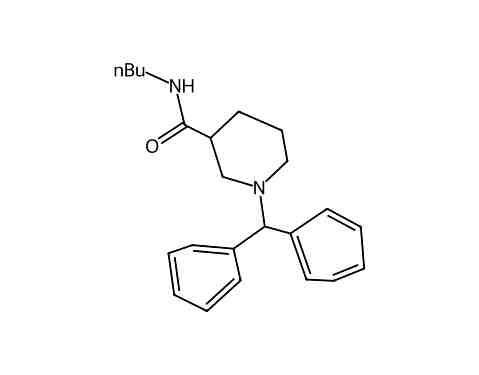 CCCCNC(=O)C1CCCN(C(c2ccccc2)c2ccccc2)C1